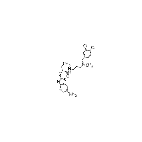 CCC(Sc1nc2ccc(N)cc2s1)C(=O)NCCCN(C)Cc1ccc(Cl)c(Cl)c1